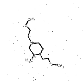 COCCN1CCN(CCOC)[C@@H](C)C1